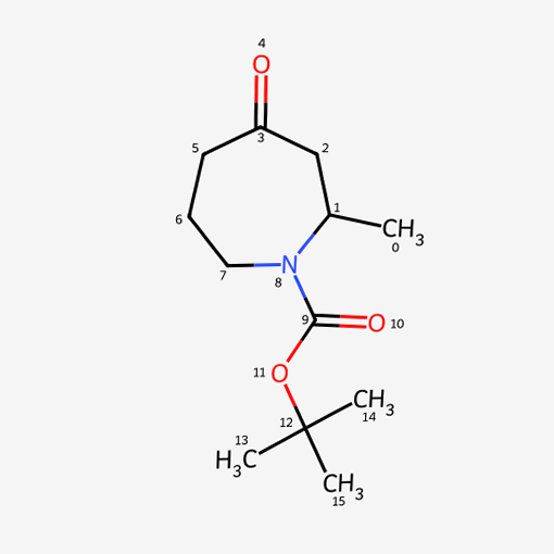 CC1CC(=O)CCCN1C(=O)OC(C)(C)C